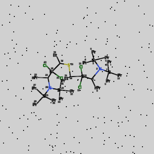 CCCC(N([Si](C(C)C)(C(C)C)C(C)C)[Si](C(C)C)(C(C)C)C(C)C)[Si](Cl)(Cl)C(CC)SC(CC)[Si](Cl)(Cl)C(CCC)N([Si](C(C)C)(C(C)C)C(C)C)[Si](C(C)C)(C(C)C)C(C)C